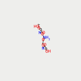 CC(C)C(O)COc1ccc(/C=C(\C#N)C(=O)OCCCCC(C)(N)OCCCCC(C)(C)OC(=O)/C(C#N)=C/c2ccc(O)cc2)cc1